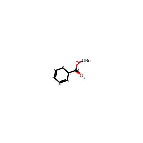 CC(C)(C)OC(=O)C1C=CC=CC1